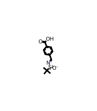 CC(C)(C)[S@+]([O-])/N=C/c1ccc(C(=O)O)cc1